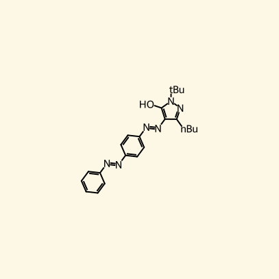 CCCCc1nn(C(C)(C)C)c(O)c1N=Nc1ccc(N=Nc2ccccc2)cc1